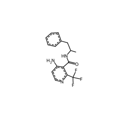 CC(Cc1ccccc1)NC(=O)c1c(N)ccnc1C(F)(F)F